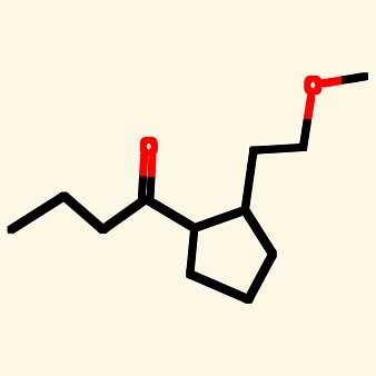 CCCC(=O)C1CCCC1CCOC